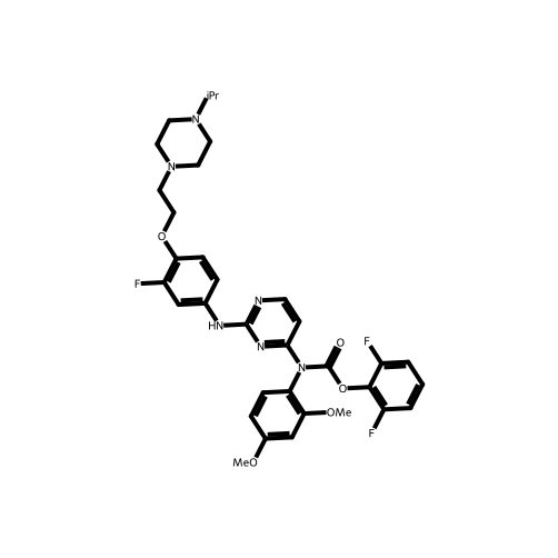 COc1ccc(N(C(=O)Oc2c(F)cccc2F)c2ccnc(Nc3ccc(OCCN4CCN(C(C)C)CC4)c(F)c3)n2)c(OC)c1